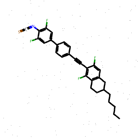 CCCCCC1CCc2c(cc(F)c(C#Cc3ccc(-c4cc(F)c(N=C=S)c(F)c4)cc3)c2F)C1